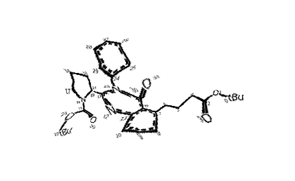 CC(C)(C)OC(=O)CCCc1cccc2nc([C@@H]3CCCN3C(=O)OC(C)(C)C)n(-c3ccccc3)c(=O)c12